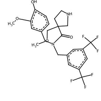 COCC1(C(=O)N(Cc2cc(C(F)(F)F)cc(C(F)(F)F)c2)Cc2ccc(O)c(OC)c2)CCNC1